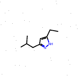 CCc1cc(CC(C)C)n[nH]1